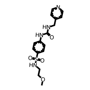 COCCNS(=O)(=O)c1ccc(NC(=O)NCc2ccncc2)cc1